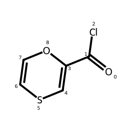 O=C(Cl)C1=CSC=CO1